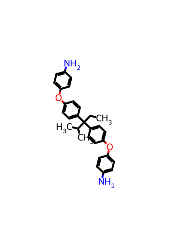 CCC(c1ccc(Oc2ccc(N)cc2)cc1)(c1ccc(Oc2ccc(N)cc2)cc1)C(C)C